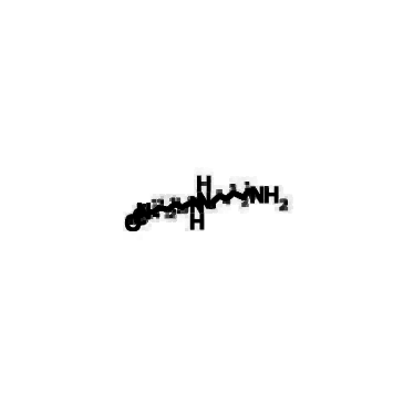 NCCCCCCNNCCCCCCN=C=O